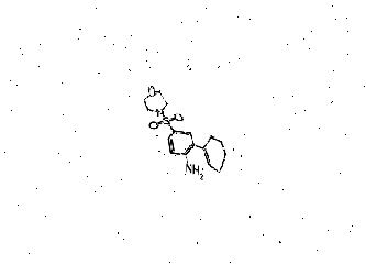 Nc1ccc(S(=O)(=O)N2CCOCC2)cc1C1=CCCCC1